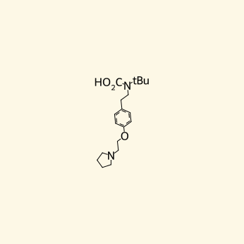 CC(C)(C)N(CCc1ccc(OCCN2CCCC2)cc1)C(=O)O